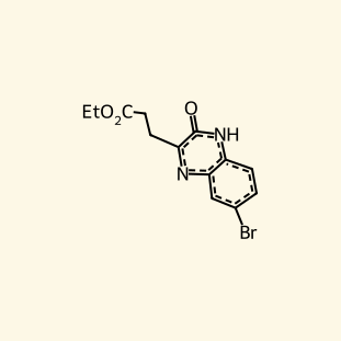 CCOC(=O)CCc1nc2cc(Br)ccc2[nH]c1=O